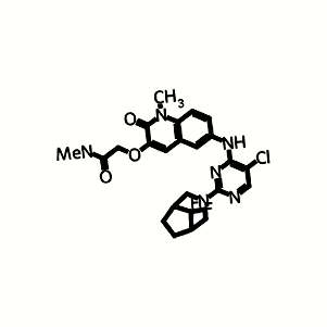 CNC(=O)COc1cc2cc(Nc3nc(N4CC5CCC(C4)C5(F)F)ncc3Cl)ccc2n(C)c1=O